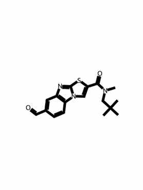 CN(CC(C)(C)C)C(=O)c1cn2c(nc3cc(C=O)ccc32)s1